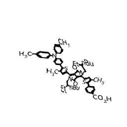 CCCCC(CC)CN1C(=O)C2=C(c3cc(C)c(-c4ccc(N(c5ccc(C)cc5)c5ccc(C)cc5)cc4)s3)N(CC(CC)CCCC)C(=O)C2=C1c1cc(C)c(-c2ccc(C(=O)O)cc2)s1